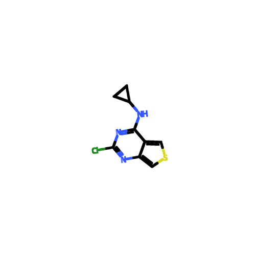 Clc1nc(NC2CC2)c2cscc2n1